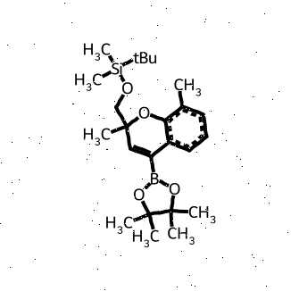 Cc1cccc2c1OC(C)(CO[Si](C)(C)C(C)(C)C)C=C2B1OC(C)(C)C(C)(C)O1